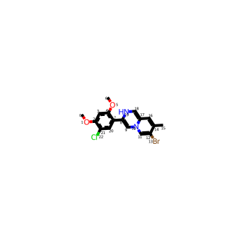 COc1cc(OC)c(C2=CN3C=C(Br)C(C)=CC3=CN2)cc1Cl